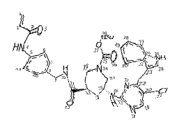 C=CC(=O)Nc1ccc(CNC(=O)[C@@H]2C[C@@H](Nc3ncc(Cl)c(-c4c[nH]c5ccccc45)n3)CN(C(=O)OC(C)(C)C)C2)cc1